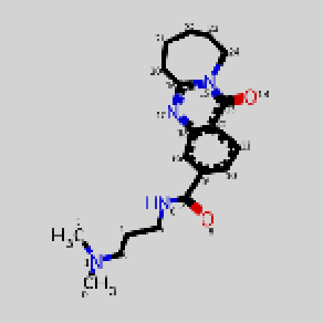 CN(C)CCCNC(=O)c1ccc2c(=O)n3c(nc2c1)CCCCC3